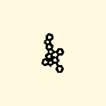 c1ccc(-c2nc(-c3ccccc3-n3c4ccccc4c4cc5sc6ccccc6c5cc43)nc3c2sc2ccccc23)cc1